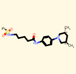 CC(C)S(=O)(=O)NCCCCC(=O)Nc1ccc(N2C[C@H](C)C[C@@H](C)C2)cc1